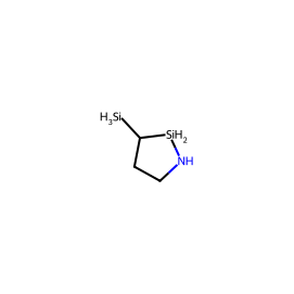 [SiH3]C1CCN[SiH2]1